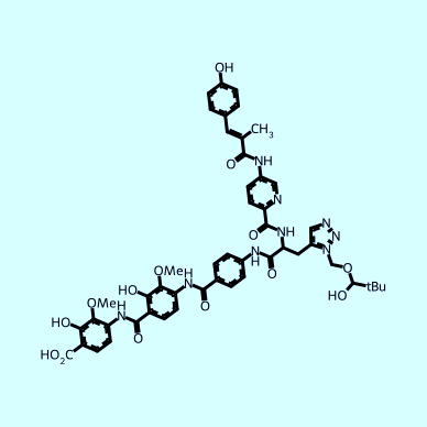 COc1c(NC(=O)c2ccc(NC(=O)c3ccc(NC(=O)C(Cc4cnnn4COC(O)C(C)(C)C)NC(=O)c4ccc(NC(=O)/C(C)=C/c5ccc(O)cc5)cn4)cc3)c(OC)c2O)ccc(C(=O)O)c1O